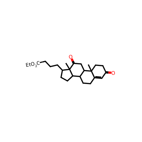 CCOC(=O)CCCC1CCC2C3CCC4=CC(=O)CCC4(C)C3CC(=O)C12C